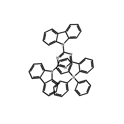 c1ccc([Si](c2ccccc2)(c2ccccc2)c2ccccc2-c2nc(-n3c4ccccc4c4ccccc43)nc(-n3c4ccccc4c4ccccc43)n2)cc1